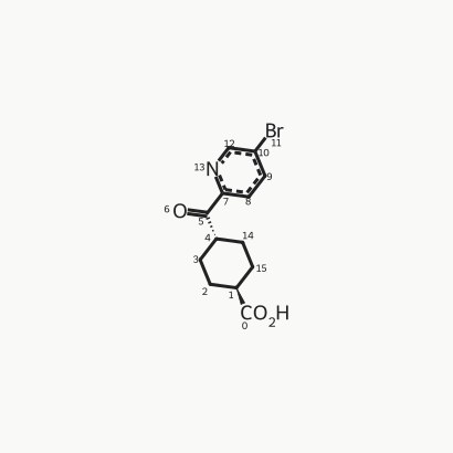 O=C(O)[C@H]1CC[C@H](C(=O)c2ccc(Br)cn2)CC1